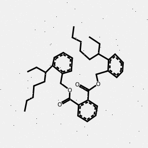 CCCCCC(CC)c1ccccc1COC(=O)c1ccccc1C(=O)OCc1ccccc1C(CC)CCCCC